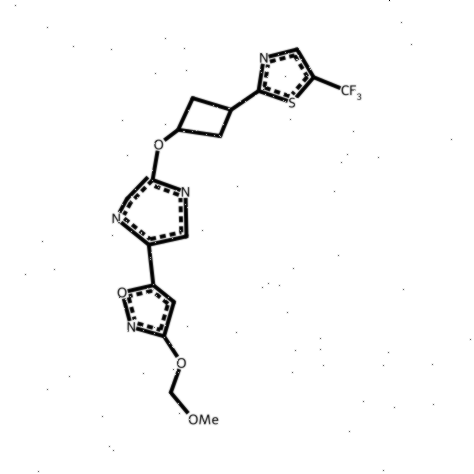 COCOc1cc(-c2cnc(OC3CC(c4ncc(C(F)(F)F)s4)C3)cn2)on1